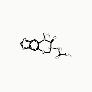 CN1C(=O)[C@@H](NC(=O)C(F)(F)F)COc2cc3ncoc3cc21